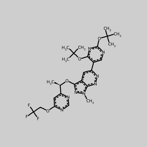 C[C@@H](Oc1nn(C)c2nnc(-c3cnc(OC(C)(C)C)nc3OC(C)(C)C)cc12)c1cc(OCC(F)(F)F)ncn1